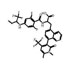 CCC(Nc1cc(F)c(C(=O)NC(Cc2ccc(-c3c(C(F)(F)F)cc(C)n(C)c3=O)c3ccccc23)C(=O)O)c(F)c1)C(F)(F)F